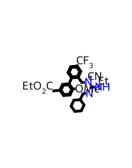 CCNC(=NCC1CCCCC1)N(C#N)Cc1cc(C(F)(F)F)ccc1-c1cc(CC(=O)OCC)ccc1OC